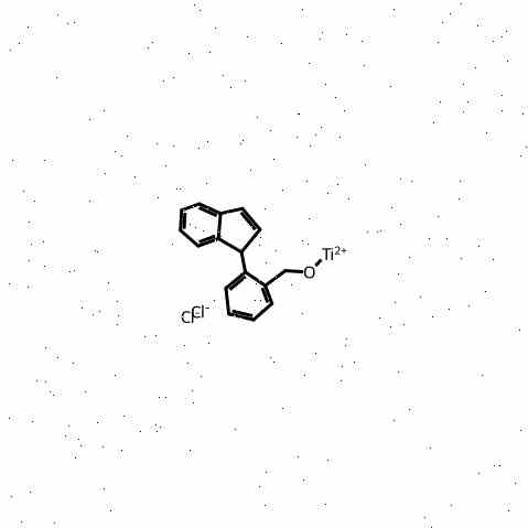 [Cl-].[Cl-].[Ti+2][O]Cc1ccccc1C1C=Cc2ccccc21